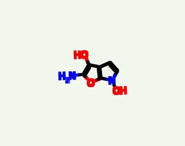 Nc1oc2c(ccn2O)c1O